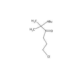 CCCCC(C)(C)C(=O)CCCCl